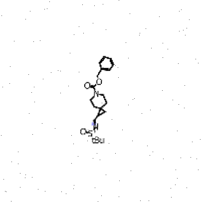 CC(C)(C)[S+]([O-])/N=C/C1CC12CCN(C(=O)OCc1ccccc1)CC2